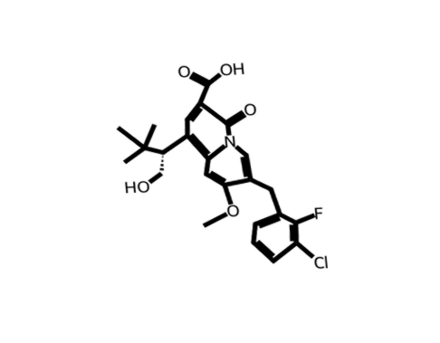 COc1cc2c([C@H](CO)C(C)(C)C)cc(C(=O)O)c(=O)n2cc1Cc1cccc(Cl)c1F